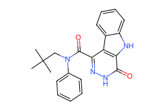 CC(C)(C)CN(C(=O)c1n[nH]c(=O)c2[nH]c3ccccc3c12)c1ccccc1